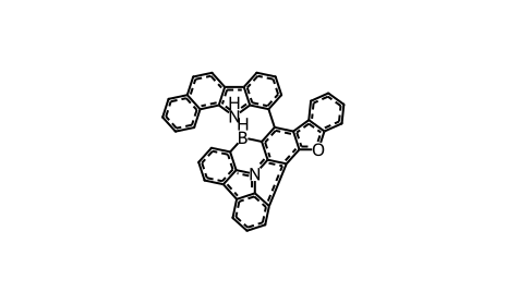 B1c2cccc3c4cccc5c6c7oc8ccccc8c7c(-c7cccc8c7[nH]c7c9ccccc9ccc87)c1c6n(c23)c45